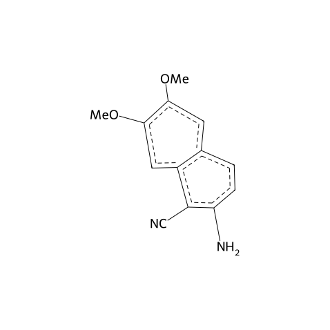 COc1cc2ccc(N)c(C#N)c2cc1OC